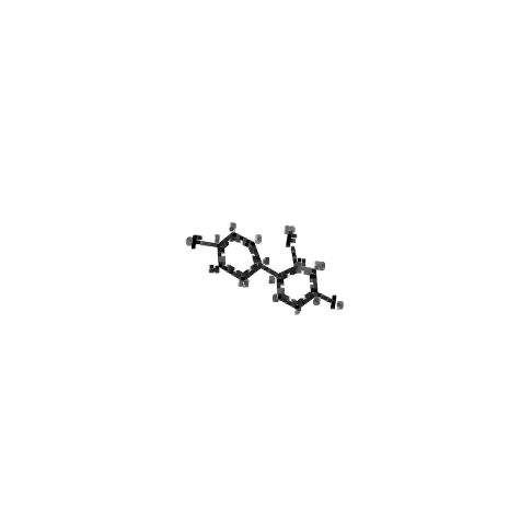 Fc1ccc(-c2ccc(I)cc2F)cc1